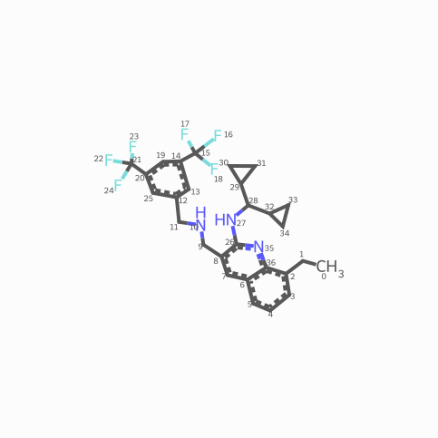 CCc1cccc2cc(CNCc3cc(C(F)(F)F)cc(C(F)(F)F)c3)c(NC(C3CC3)C3CC3)nc12